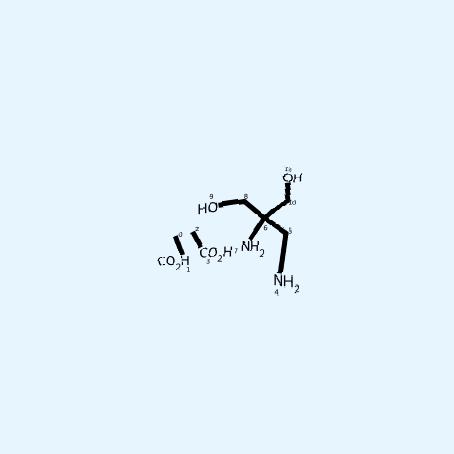 CC(=O)O.CC(=O)O.NCC(N)(CO)CO